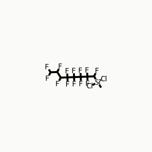 C[Si](Cl)(Cl)C(F)C(F)(F)C(F)(F)C(F)(F)C(F)(F)C(F)C(F)C(F)F